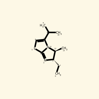 CC[C@@H]1N=C2SC=C(C(C)C)N2[C@H]1C